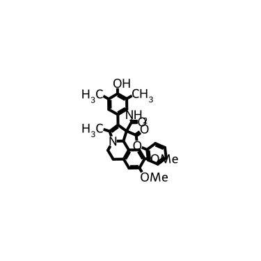 COc1cc2c(cc1OC)C1N(CC2)C(C)=C(c2cc(C)c(O)c(C)c2)C1(C(N)=O)C(=O)Oc1ccccc1